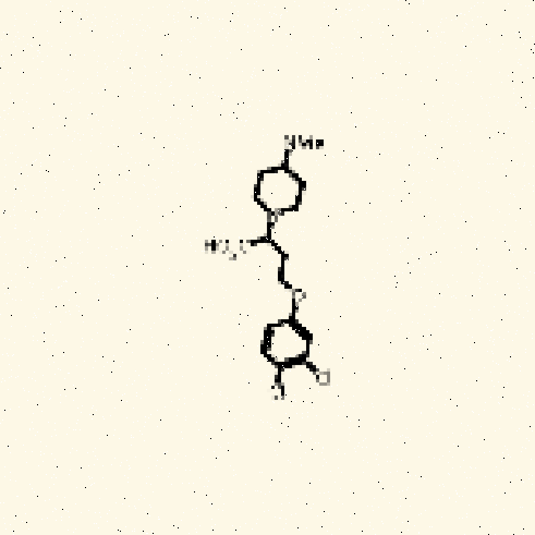 CNC1CCN(C(CCOc2ccc(Cl)c(Cl)c2)C(=O)O)CC1